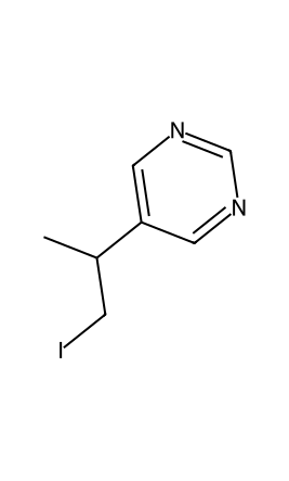 CC(CI)c1cncnc1